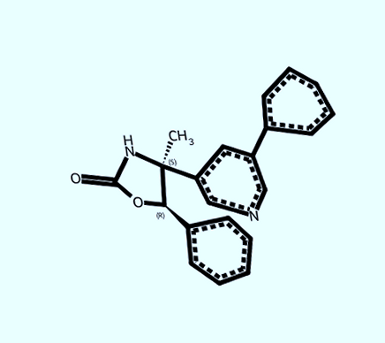 C[C@@]1(c2cncc(-c3ccccc3)c2)NC(=O)O[C@@H]1c1ccccc1